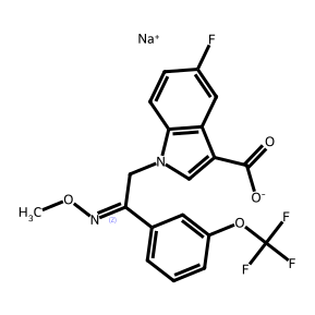 CO/N=C(\Cn1cc(C(=O)[O-])c2cc(F)ccc21)c1cccc(OC(F)(F)F)c1.[Na+]